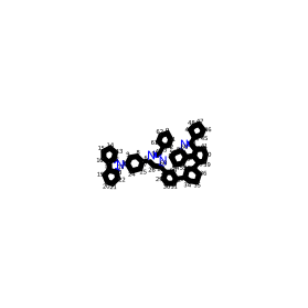 c1ccc(-c2nc(-c3ccc(-n4c5ccccc5c5ccccc54)cc3)cc(-c3cccc(-c4cccc(-c5cccc6c(-c7ccccc7)nc7ccccc7c56)c4)c3)n2)cc1